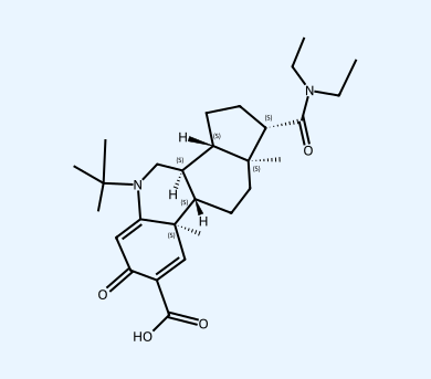 CCN(CC)C(=O)[C@H]1CC[C@H]2[C@@H]3CN(C(C)(C)C)C4=CC(=O)C(C(=O)O)=C[C@]4(C)[C@H]3CC[C@]12C